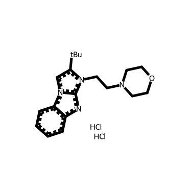 CC(C)(C)c1cn2c3ccccc3nc2n1CCN1CCOCC1.Cl.Cl